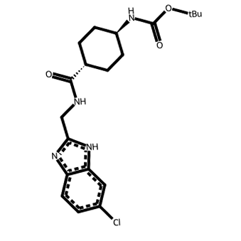 CC(C)(C)OC(=O)N[C@H]1CC[C@H](C(=O)NCc2nc3ccc(Cl)cc3[nH]2)CC1